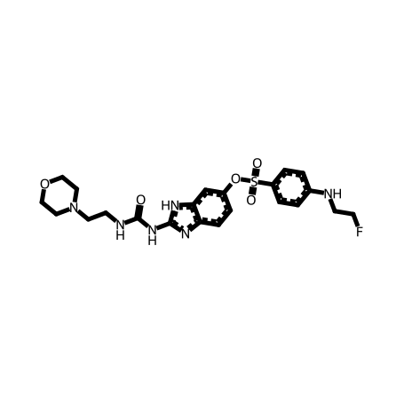 O=C(NCCN1CCOCC1)Nc1nc2ccc(OS(=O)(=O)c3ccc(NCCF)cc3)cc2[nH]1